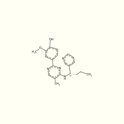 CCC[C@H](Nc1nc(-c2ccc(O)c(OC)c2)ncc1C)c1cccnc1